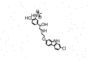 CS(=O)(=O)Nc1cc(C(O)CNCCOc2ccc3c(c2)[nH]c2cc(Cl)ccc23)ccc1O